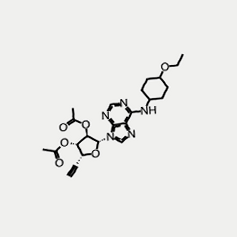 C#C[C@H]1O[C@@H](n2cnc3c(NC4CCC(OCC)CC4)ncnc32)[C@H](OC(C)=O)[C@H]1OC(C)=O